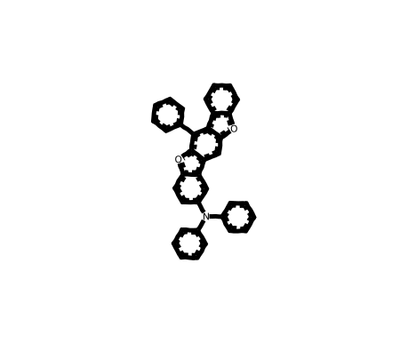 c1ccc(-c2c3oc4ccc(N(c5ccccc5)c5ccccc5)cc4c3cc3oc4ccccc4c23)cc1